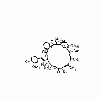 CC[C@@H]1/C=C(\C)C[C@H](C)C[C@H](OC)[C@H]2O[C@@](O)(C(=O)C(=O)N3CCCC[C@H]3C(=O)O[C@H](/C(C)=C/C3CC[C@@H](Cl)[C@H](OC)C3)[C@@H](C)[C@@H](OC(C)=O)CC1=O)[C@H](C)C[C@@H]2OC